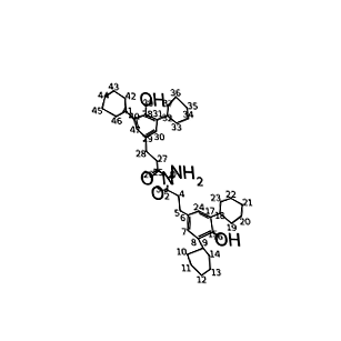 NN(C(=O)CCc1cc(C2CCCCC2)c(O)c(C2CCCCC2)c1)C(=O)CCc1cc(C2CCCCC2)c(O)c(C2CCCCC2)c1